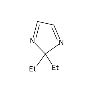 CCC1(CC)N=CC=N1